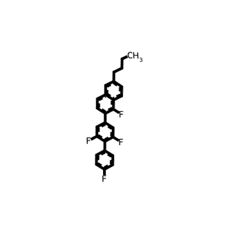 CCCCc1ccc2c(F)c(-c3cc(F)c(-c4ccc(F)cc4)c(F)c3)ccc2c1